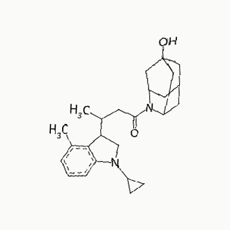 Cc1cccc2c1C(C(C)CC(=O)N1C3CC4CC1CC(O)(C4)C3)CN2C1CC1